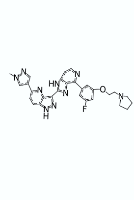 Cn1cc(-c2ccc3[nH]nc(-c4nc5c(-c6cc(F)cc(OCCN7CCCC7)c6)nccc5[nH]4)c3n2)cn1